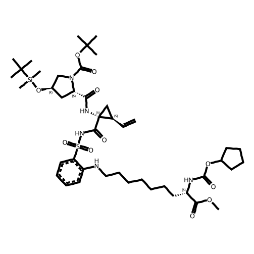 C=C[C@@H]1C[C@]1(NC(=O)[C@@H]1C[C@@H](O[Si](C)(C)C(C)(C)C)CN1C(=O)OC(C)(C)C)C(=O)NS(=O)(=O)c1ccccc1NCCCCCCC[C@H](NC(=O)OC1CCCC1)C(=O)OC